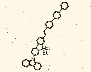 CCC1(CC)c2cc(/C=C/c3ccc(-c4ccc(-c5ccccc5)cc4)cc3)ccc2-c2ccc(-n3c4ccccc4c4ccccc43)cc21